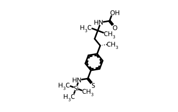 C[C@@H](CC(C)(C)NC(=O)O)c1ccc(C(=S)N[Si](C)(C)C)cc1